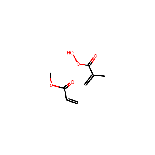 C=C(C)C(=O)OO.C=CC(=O)OC